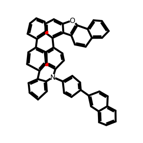 c1ccc(-c2ccc(-c3ccccc3N(c3ccc(-c4ccc5ccccc5c4)cc3)c3ccc(-c4cccc5oc6c7ccccc7ccc6c45)cc3)cc2)cc1